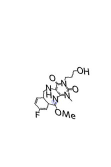 CO/C1=N\c2c(c(=O)n(CCCO)c(=O)n2C)NCC2C=CC(F)=CC12